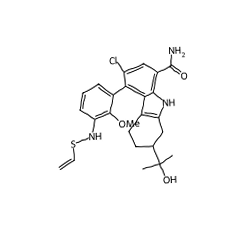 C=CSNc1cccc(-c2c(Cl)cc(C(N)=O)c3[nH]c4c(c23)CCC(C(C)(C)O)C4)c1OC